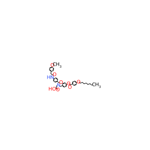 CCCCCCCCOc1ccc(C(=O)Oc2ccc(CN(CC(=O)O)C(=O)c3ccc(NC(=O)Cc4ccc(OC)cc4)cc3)cc2)cc1